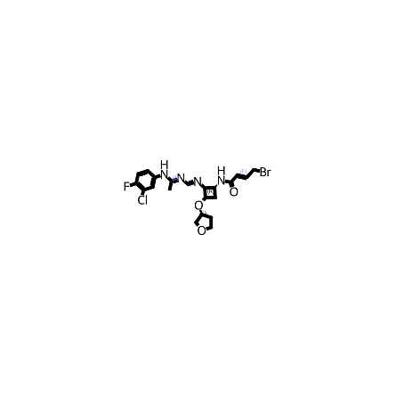 C/C(=N\C=NC1C(O[C@H]2CCOC2)C[C@H]1NC(=O)/C=C/CBr)Nc1ccc(F)c(Cl)c1